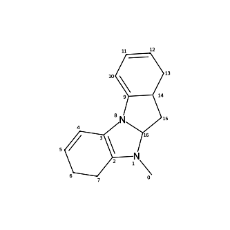 CN1C2=C(C=CCC2)N2C3=CC=CCC3CC12